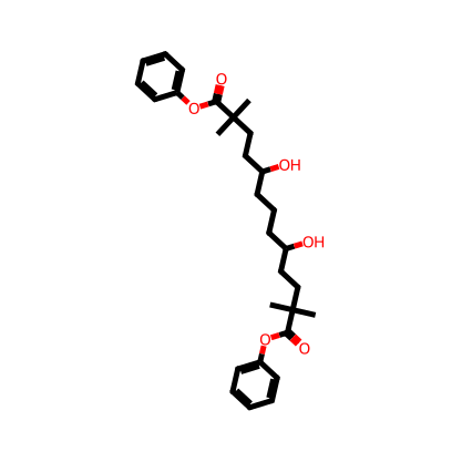 CC(C)(CCC(O)CCCC(O)CCC(C)(C)C(=O)Oc1ccccc1)C(=O)Oc1ccccc1